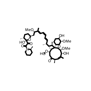 CO[C@@H](C[C@@H]1CC[C@@H](C)[C@](O)(C(=O)C(=O)N2CCCC[C@@H]2C)O1)/C(C)=C/C=C\C=C\[C@@H](C)C[C@@H](C)C1([C@@H]2CC[C@@H](O)[C@H](OC)C2)C(=O)[C@H](OC)[C@H](O)/C(C)=C\[C@@H](C)C(=O)C[C@H](OO)[C@@H]1C